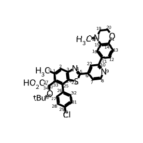 Cc1cc2nc(-c3ccnc(-c4ccc5c(c4)N(C)CCO5)c3)sc2c(-c2ccc(Cl)cc2)c1[C@H](OC(C)(C)C)C(=O)O